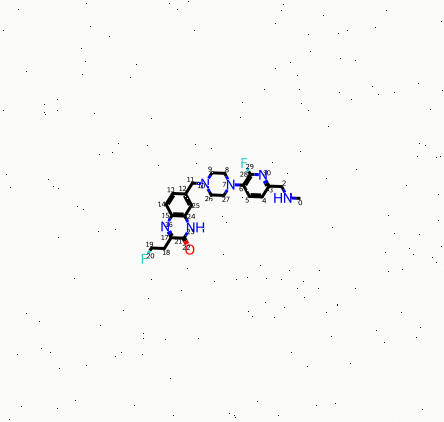 CNCc1ccc(N2CCN(Cc3ccc4nc(CCF)c(=O)[nH]c4c3)CC2)c(F)n1